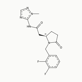 Cn1ncnc1NC(=O)C[C@H]1CCC(=O)N1Cc1cccc(F)c1F